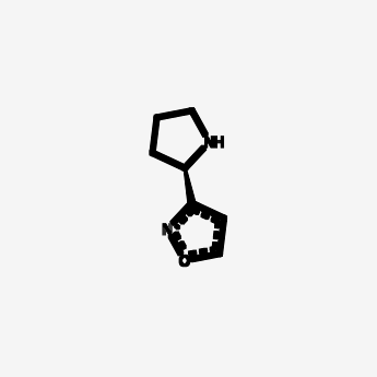 c1cc([C@H]2CCCN2)no1